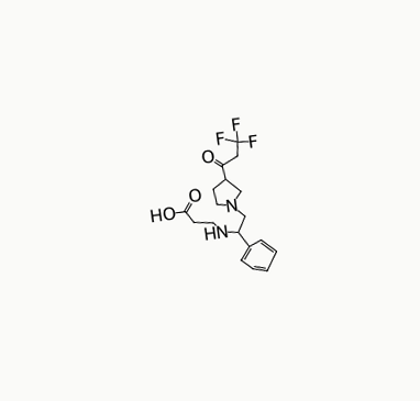 O=C(O)CCNC(CN1CCC(C(=O)CC(F)(F)F)C1)c1ccccc1